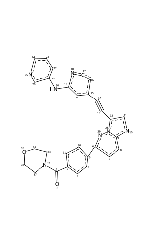 O=C(c1ccc(-c2ccc3ncc(C#Cc4ccnc(Nc5cccnc5)c4)n3n2)cc1)N1CCOCC1